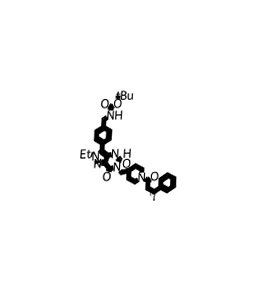 CCn1nc2c(=O)n(CC3(O)CCN(C(=O)C[C@@H](C)c4ccccc4)CC3)cnc2c1-c1ccc(CNC(=O)OC(C)(C)C)cc1